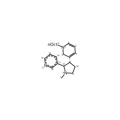 CCCCCCCCN1C=CC=CC1.CN1CCCC1c1cccnc1